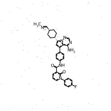 C/N=C/[C@H]1CC[C@H](c2cc(-c3ccc(NC(=O)c4cccn(-c5ccc(F)cc5)c4=O)cc3)c3c(N)ncnn32)CC1